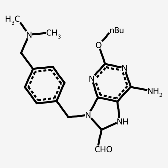 CCCCOc1nc(N)c2c(n1)N(Cc1ccc(CN(C)C)cc1)C(C=O)N2